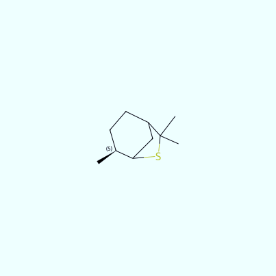 C[C@H]1CCC2CC1SC2(C)C